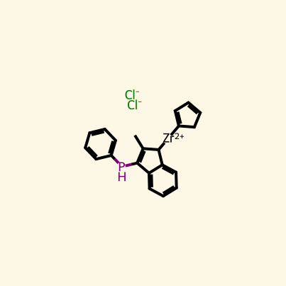 CC1=C(Pc2ccccc2)c2ccccc2[CH]1[Zr+2][C]1=CC=CC1.[Cl-].[Cl-]